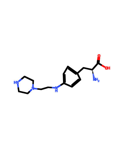 N[C@H](Cc1ccc(NCCN2CCNCC2)cc1)C(=O)O